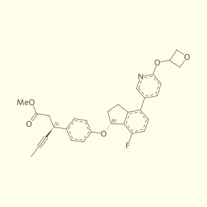 CC#C[C@@H](CC(=O)OC)c1ccc(O[C@@H]2CCc3c(-c4ccc(OC5COC5)nc4)ccc(F)c32)cc1